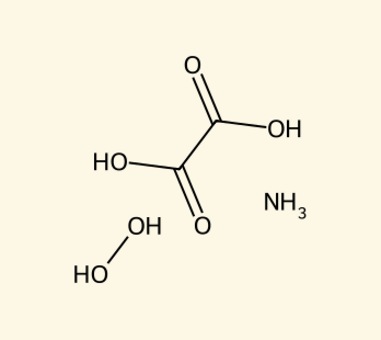 N.O=C(O)C(=O)O.OO